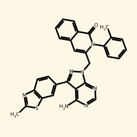 Cc1nc2ccc(-c3nn(Cc4cc5ccccc5c(=O)n4-c4ccccc4C)c4ncnc(N)c34)cc2s1